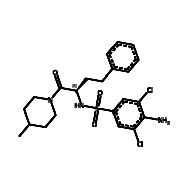 CC1CCN(C(=O)[C@@H](CCc2ccccc2)NS(=O)(=O)c2cc(Cl)c(N)c(Cl)c2)CC1